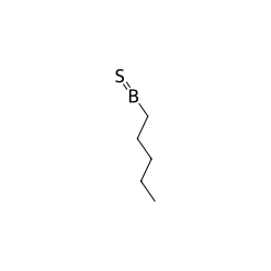 CCCCCB=S